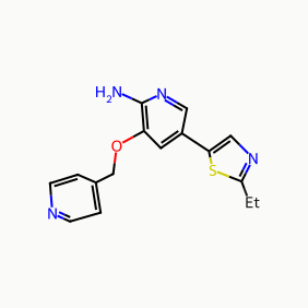 CCc1ncc(-c2cnc(N)c(OCc3ccncc3)c2)s1